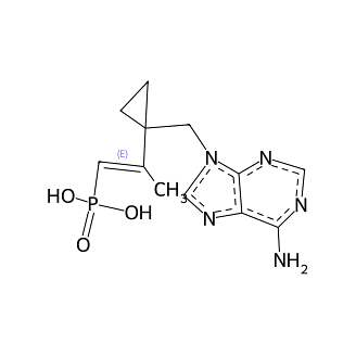 C/C(=C\P(=O)(O)O)C1(Cn2cnc3c(N)ncnc32)CC1